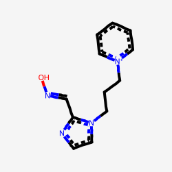 O/N=C/c1nccn1CCC[n+]1ccccc1